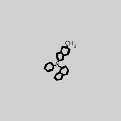 Cc1ccc2cc(N(c3ccccc3)c3cccc4ccccc34)ccc2c1